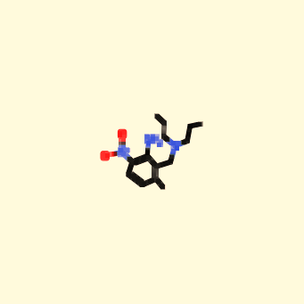 CCCN(CCC)Cc1c(C)ccc([N+](=O)[O-])c1N